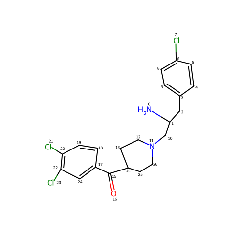 NC(Cc1ccc(Cl)cc1)CN1CCC(C(=O)c2ccc(Cl)c(Cl)c2)CC1